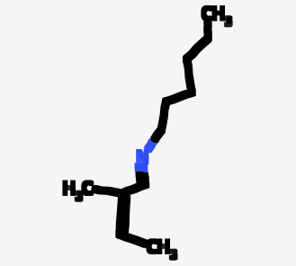 CC=C(C)C=NCCCCCC